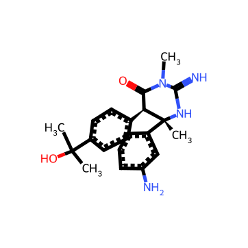 CN1C(=N)N[C@](C)(c2cccc(N)c2)[C@@H](c2ccc(C(C)(C)O)cc2)C1=O